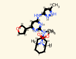 COC(=O)N1[C@@H]2CCC[C@H]1CC(N(C)c1nc(Nc3cc(C)[nH]n3)cc(C3=CCOC3)n1)C2